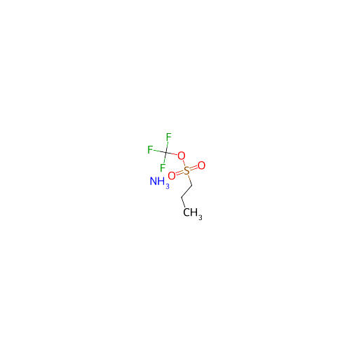 CCCS(=O)(=O)OC(F)(F)F.N